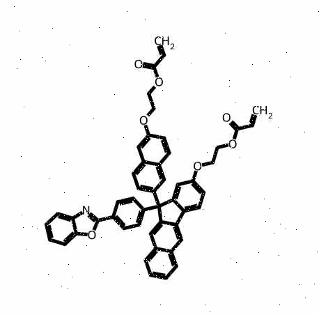 C=CC(=O)OCCOc1ccc2c(c1)C(c1ccc(-c3nc4ccccc4o3)cc1)(c1ccc3cc(OCCOC(=O)C=C)ccc3c1)c1cc3ccccc3cc1-2